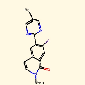 CCCCCn1ccc2cc(-c3ncc(C#N)cn3)c(I)cc2c1=O